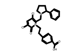 O=C(O)c1ccc(CCn2c(CN3CCCC3c3ccccc3)c(Cl)cc(Cl)c2=O)cc1